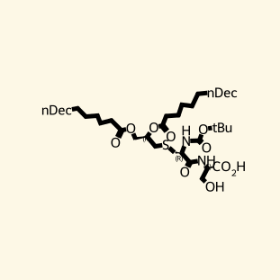 CCCCCCCCCCCCCCCC(=O)OC[C@H](CSC[C@H](NC(=O)OC(C)(C)C)C(=O)N[C@@H](CO)C(=O)O)OC(=O)CCCCCCCCCCCCCCC